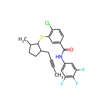 CC#CCC1CCC(C)C1Sc1cc(C(=O)Nc2cc(F)c(F)c(F)c2)ccc1Cl